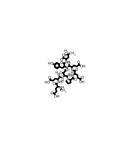 CCC(C)C(NC(=O)C(CCC(=O)O)NC(=O)C(CCC(=O)O)NC)C(=O)N1CCCC1C(=O)NC(CCC(=O)O)C(=O)NC(CCC(=O)O)C(=O)NC(Cc1ccc(O)cc1)C(=O)NC(CC(C)C)C(=O)O